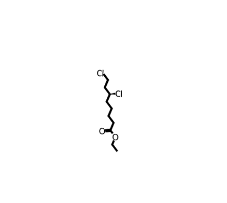 CCOC(=O)CCCC[C@H](Cl)CCCl